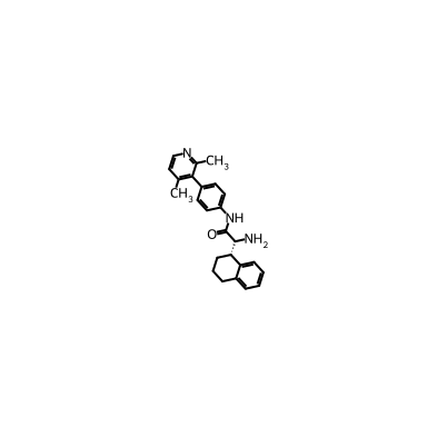 Cc1ccnc(C)c1-c1ccc(NC(=O)C(N)[C@H]2CCCc3ccccc32)cc1